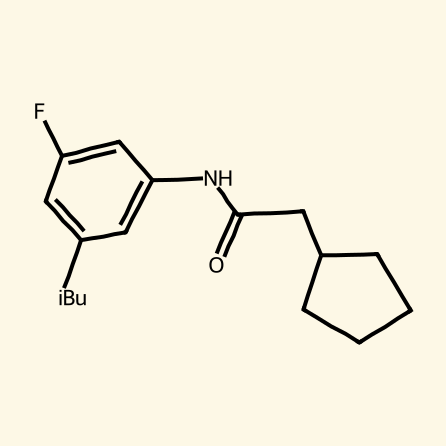 CCC(C)c1cc(F)cc(NC(=O)CC2CCCC2)c1